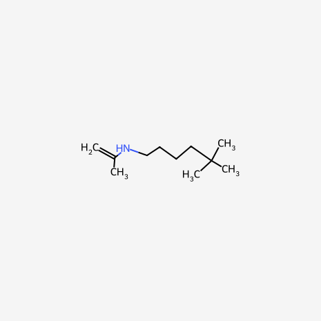 C=C(C)NCCCCC(C)(C)C